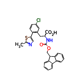 Cc1ncc(-c2ccc(Cl)cc2C[C@H](NC(=O)OCC2c3ccccc3-c3ccccc32)C(=O)O)s1